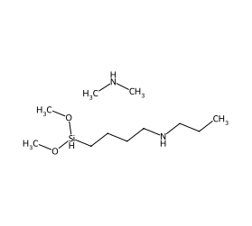 CCCNCCCC[SiH](OC)OC.CNC